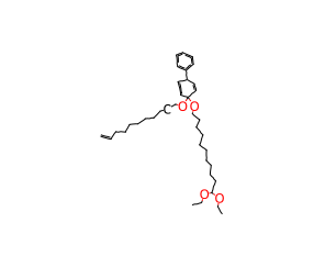 C=CCCCCCCCCCOC1(OCCCCCCCCCCC(OCC)OCC)C=CC(c2ccccc2)C=C1